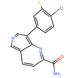 NC(=O)c1ccc2cncc(-c3ccc(Cl)c(F)c3)c2n1